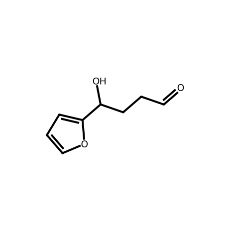 O=CCCC(O)c1ccco1